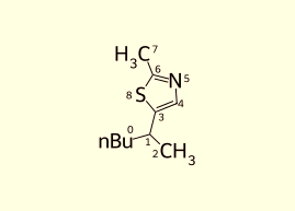 [CH2]CCCC(C)c1cnc(C)s1